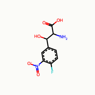 NC(C(=O)O)C(O)c1ccc(F)c([N+](=O)[O-])c1